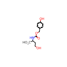 O=C(NC(CCO)C(=O)O)OCc1ccc(O)cc1